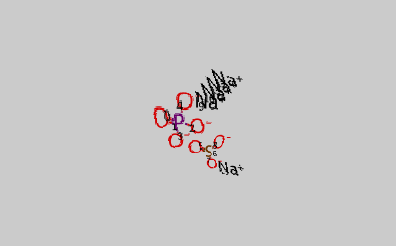 O=P([O-])([O-])[O-].O=S([O-])[O-].[Na+].[Na+].[Na+].[Na+].[Na+]